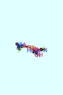 Cc1ncsc1-c1ccc(CNC(=O)[C@@H]2C[C@@H](O)CN2C(=O)[C@@H](NC(=O)C(F)(F)OCCOCCCCOc2cc(F)c([C@@H]3c4[nH]c5ccccc5c4C[C@@H](C)N3CC(C)(C)F)c(F)c2)C(C)(C)C)cc1